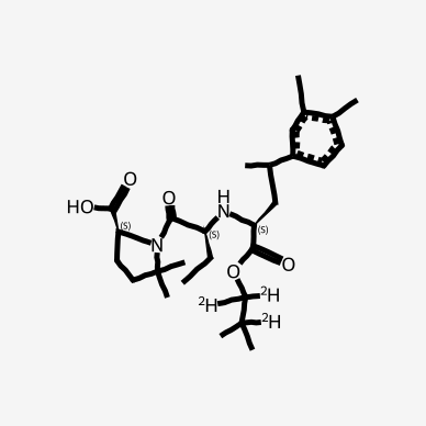 [2H]C(C)(C)C([2H])([2H])OC(=O)[C@H](CC(C)c1ccc(C)c(C)c1)N[C@@H](CC)C(=O)N1[C@H](C(=O)O)CCC1(C)C